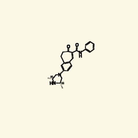 C[C@@H]1CN(c2ccc3c(c2)CCC(=O)C(C(=O)Nc2ccccc2)=C3)C[C@H](C)N1